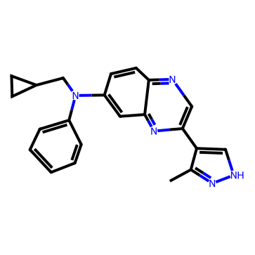 Cc1n[nH]cc1-c1cnc2ccc(N(CC3CC3)c3ccccc3)cc2n1